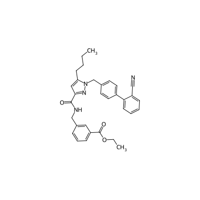 CCCCc1cc(C(=O)NCc2cccc(C(=O)OCC)c2)nn1Cc1ccc(-c2ccccc2C#N)cc1